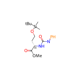 COC(=O)[C@H](CCO[Si](C)(C)C(C)(C)C)NC(=O)N=P